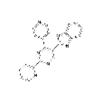 c1ccc(-c2ncc(-c3nc4ccccc4o3)c(-c3ccncc3)n2)nc1